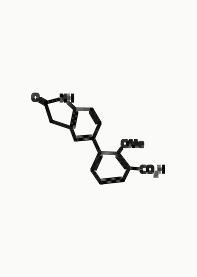 COc1c(C(=O)O)cccc1-c1ccc2c(c1)CC(=O)N2